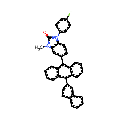 Cn1c(=O)n(-c2ccc(F)cc2)c2ccc(-c3c4ccccc4c(-c4ccc5ccccc5c4)c4ccccc34)cc21